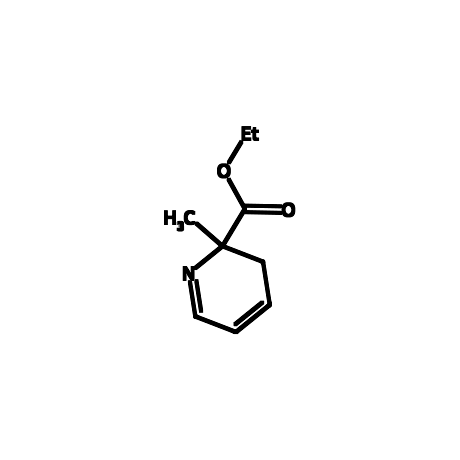 CCOC(=O)C1(C)CC=CC=N1